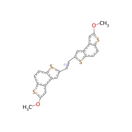 COc1cc2c(ccc3sc(/C=C/c4cc5c(ccc6sc(OC)cc65)s4)cc32)s1